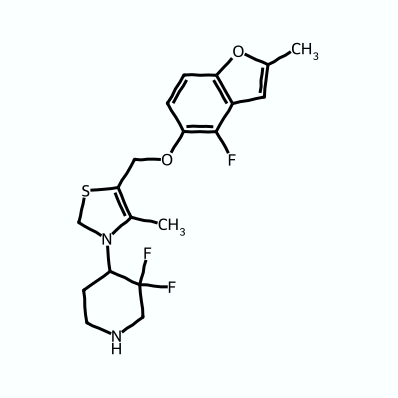 CC1=C(COc2ccc3oc(C)cc3c2F)SCN1C1CCNCC1(F)F